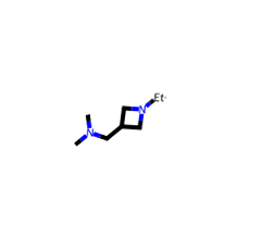 C[CH]N1CC(CN(C)C)C1